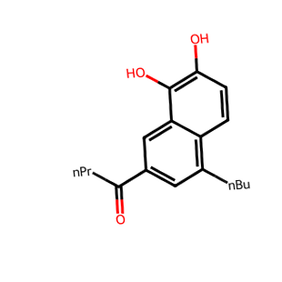 CCCCc1cc(C(=O)CCC)cc2c(O)c(O)ccc12